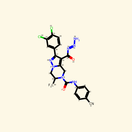 N#Cc1ccc(NC(=O)N2Cc3c(C(=O)N=NN)c(-c4ccc(Cl)c(Cl)c4)nn3CC2C(F)(F)F)cc1